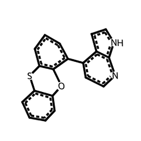 c1ccc2c(c1)Oc1c(cccc1-c1ccnc3[nH]ccc13)S2